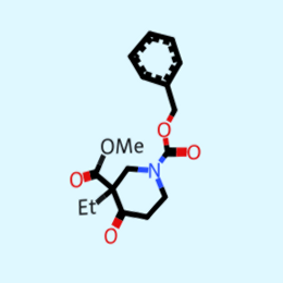 CCC1(C(=O)OC)CN(C(=O)OCc2ccccc2)CCC1=O